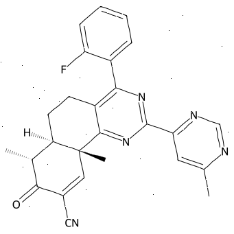 Cc1cc(-c2nc(-c3ccccc3F)c3c(n2)[C@]2(C)C=C(C#N)C(=O)[C@H](C)[C@H]2CC3)ncn1